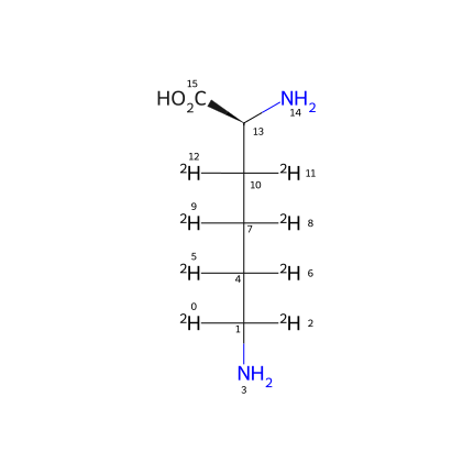 [2H]C([2H])(N)C([2H])([2H])C([2H])([2H])C([2H])([2H])[C@H](N)C(=O)O